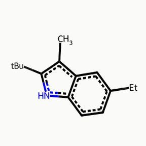 CCc1ccc2[nH]c(C(C)(C)C)c(C)c2c1